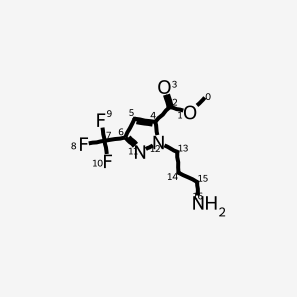 COC(=O)c1cc(C(F)(F)F)nn1CCCN